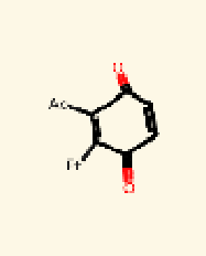 CCC1=C(C(C)=O)C(=O)C=CC1=O